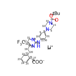 CC(C)(C)OC(=O)N1CCN(c2ccc(Nc3ncc(C(F)(F)F)c(CCc4ccccc4CC(=O)[O-])n3)cc2)CC1.[Li+]